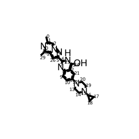 Cc1cn2nc(C3N=c4ccc(N5CCN(C6CC6)CC5)cc4=C(O)N3)cc2c(C)n1